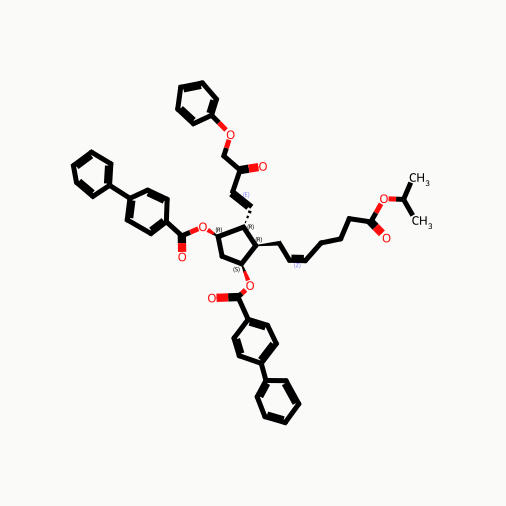 CC(C)OC(=O)CCC/C=C\C[C@@H]1[C@@H](/C=C/C(=O)COc2ccccc2)[C@H](OC(=O)c2ccc(-c3ccccc3)cc2)C[C@@H]1OC(=O)c1ccc(-c2ccccc2)cc1